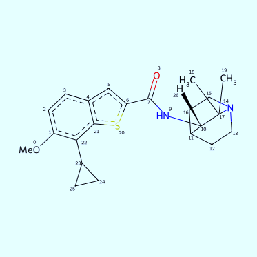 COc1ccc2cc(C(=O)N[C@H]3C4CCN(CC4)C3(C)C)sc2c1C1CC1